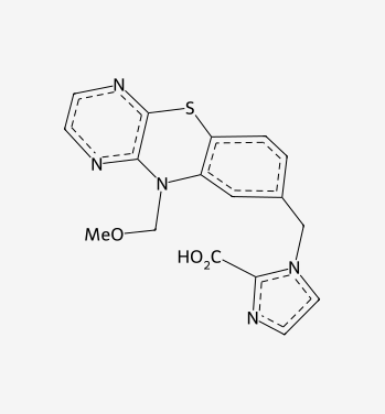 COCN1c2cc(Cn3ccnc3C(=O)O)ccc2Sc2nccnc21